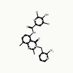 Cc1ccc(NC(=O)c2cc(Cl)c(O)c(Cl)n2)c2c(=O)n(Cc3cccnc3C(F)(F)F)c(C)nc12